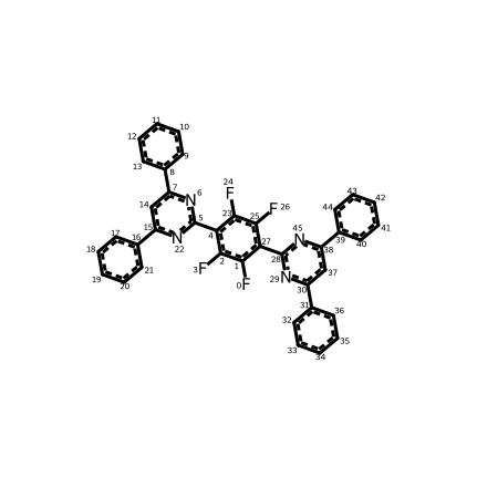 Fc1c(F)c(-c2nc(-c3ccccc3)cc(-c3ccccc3)n2)c(F)c(F)c1-c1nc(-c2ccccc2)cc(-c2ccccc2)n1